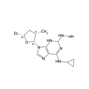 CCCNC1N=C(NC2CC2)c2ncn([C@@H]3O[C@H](CC)C[C@@H]3C)c2N1